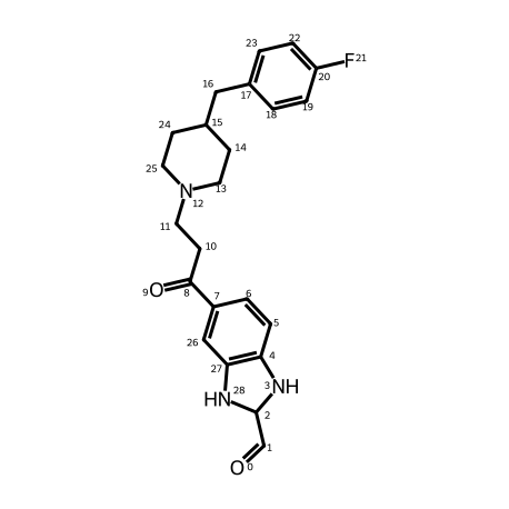 O=CC1Nc2ccc(C(=O)CCN3CCC(Cc4ccc(F)cc4)CC3)cc2N1